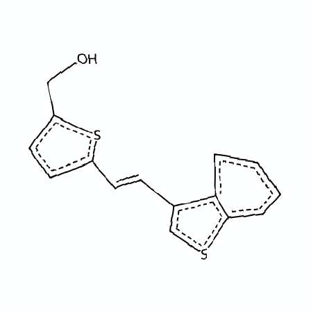 OCc1ccc(C=Cc2csc3ccccc23)s1